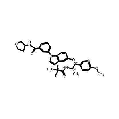 COc1ccc([C@@H](Oc2ccc3c(cnn3-c3cccc(C(=O)NC4CCOC4)c3)c2)[C@H](C)NC(=O)C(C)(F)F)cn1